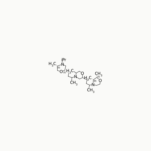 CC(CC[C@H]1CN(C(C)C)[C@@H](C)CO1)N1CC(CCC(C)N2CCO[C@@H](C)[C@H]2C)OCC1C